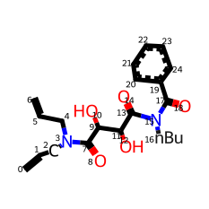 C=CCN(CC=C)C(=O)C(O)C(O)C(=O)N(CCCC)C(=O)c1ccccc1